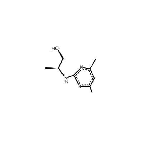 Cc1cc(C)nc(N[C@@H](C)CO)n1